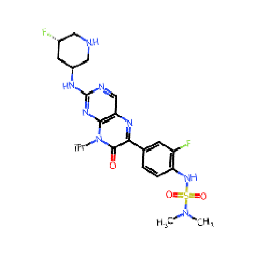 CC(C)n1c(=O)c(-c2ccc(NS(=O)(=O)N(C)C)c(F)c2)nc2cnc(N[C@@H]3CNC[C@@H](F)C3)nc21